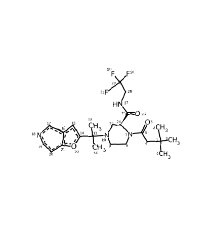 CC(C)(C)CC(=O)N1CCN(C(C)(C)c2cc3cnccc3o2)C[C@H]1C(=O)NCC(F)(F)F